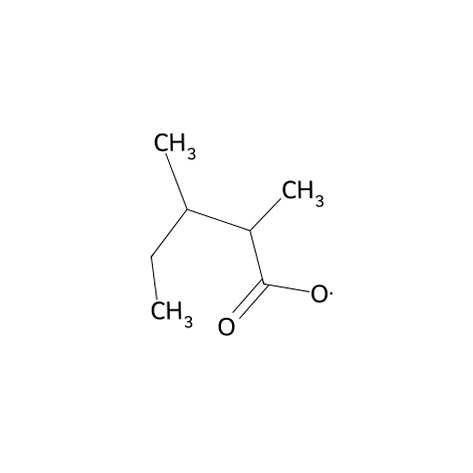 CCC(C)C(C)C([O])=O